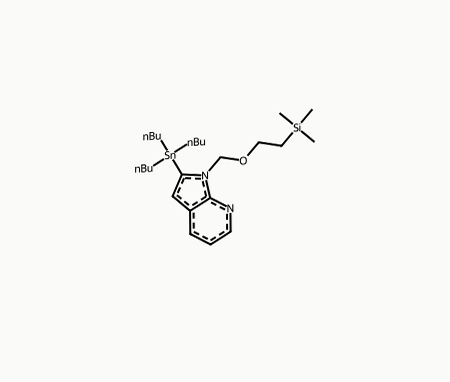 CCC[CH2][Sn]([CH2]CCC)([CH2]CCC)[c]1cc2cccnc2n1COCC[Si](C)(C)C